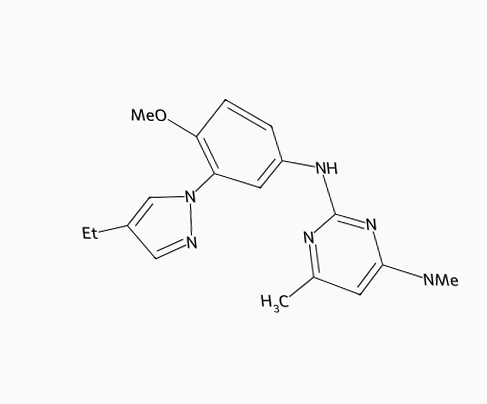 CCc1cnn(-c2cc(Nc3nc(C)cc(NC)n3)ccc2OC)c1